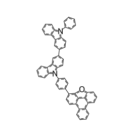 c1ccc(-n2c3ccccc3c3cc(-c4ccc5c(c4)c4ccccc4n5-c4ccc(-c5ccc6c7ccccc7c7cccc8oc5c6c87)cc4)ccc32)cc1